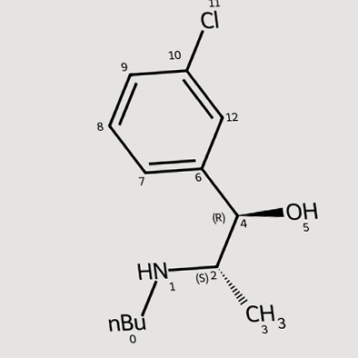 CCCCN[C@@H](C)[C@H](O)c1cccc(Cl)c1